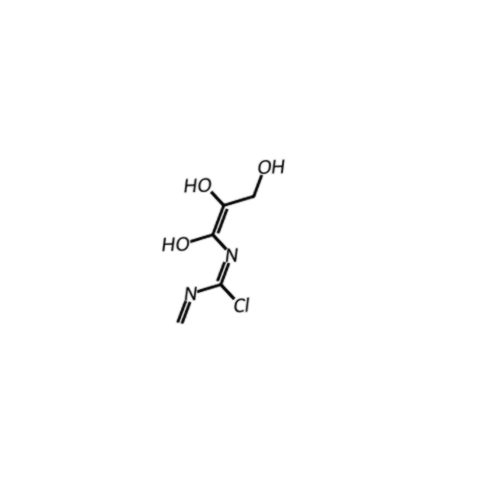 C=N/C(Cl)=N\C(O)=C(\O)CO